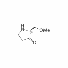 COC[C@@H]1NCCC1=O